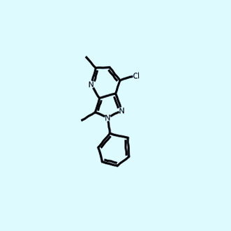 Cc1cc(Cl)c2nn(-c3ccccc3)c(C)c2n1